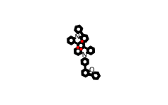 c1ccc(N(c2ccc(-c3cccc4c3oc3ccccc34)cc2)c2ccccc2-c2ccc(-c3ccccc3-n3c4ccccc4c4ccccc43)cc2)cc1